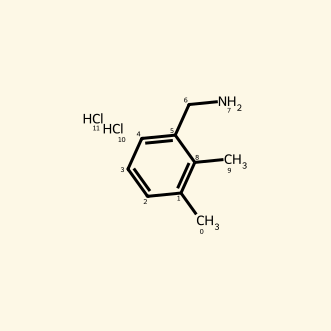 Cc1cccc(CN)c1C.Cl.Cl